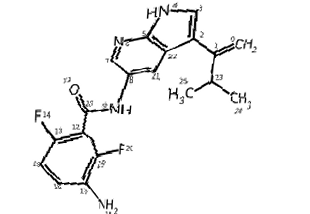 C=C(c1c[nH]c2ncc(NC(=O)c3c(F)ccc(N)c3F)cc12)C(C)C